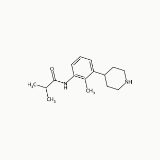 Cc1c(NC(=O)C(C)C)cccc1C1CCNCC1